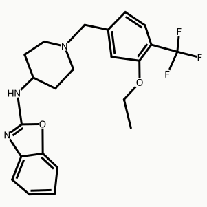 CCOc1cc(CN2CCC(Nc3nc4ccccc4o3)CC2)ccc1C(F)(F)F